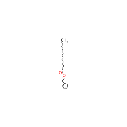 CCCCCCCCCCCCCCCC(=O)OC/C=C/c1ccccc1